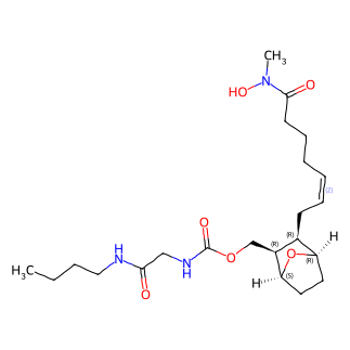 CCCCNC(=O)CNC(=O)OC[C@H]1[C@@H](C/C=C\CCCC(=O)N(C)O)[C@H]2CC[C@@H]1O2